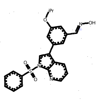 CC(C)Oc1cc(/C=N/O)cc(-c2cn(S(=O)(=O)c3ccccc3)c3ncccc23)c1